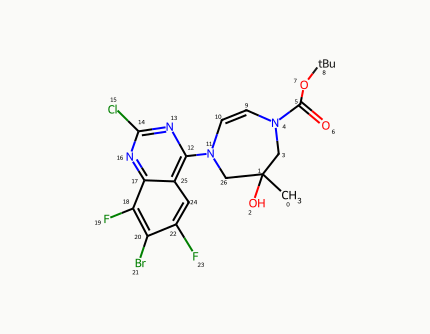 CC1(O)CN(C(=O)OC(C)(C)C)C=CN(c2nc(Cl)nc3c(F)c(Br)c(F)cc23)C1